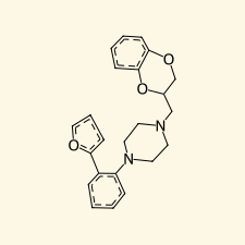 c1coc(-c2ccccc2N2CCN(CC3COc4ccccc4O3)CC2)c1